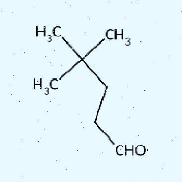 CC(C)(C)CC[C]=O